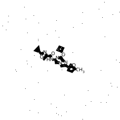 CC12CCC(c3cn4cc(NC(=O)c5coc(C6CC6)n5)nc(OC5CCC5)c4n3)(CO1)C2